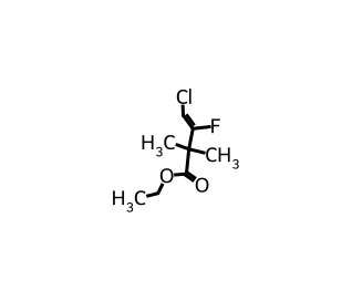 CCOC(=O)C(C)(C)/C(F)=C/Cl